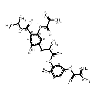 C=C(C)C(=O)Oc1ccc(O)c(OC(=O)C(C)Cc2cc(OC(=O)C(=C)C)c(C(=O)OC(C)C)cc2O)c1